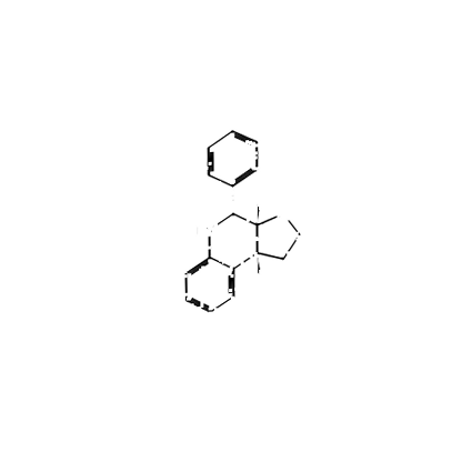 c1ccc([C@H]2Nc3ccccc3[C@H]3CCO[C@H]32)cc1